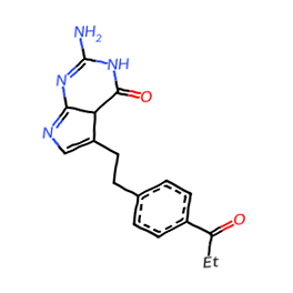 CCC(=O)c1ccc(CCC2=CN=C3N=C(N)NC(=O)C23)cc1